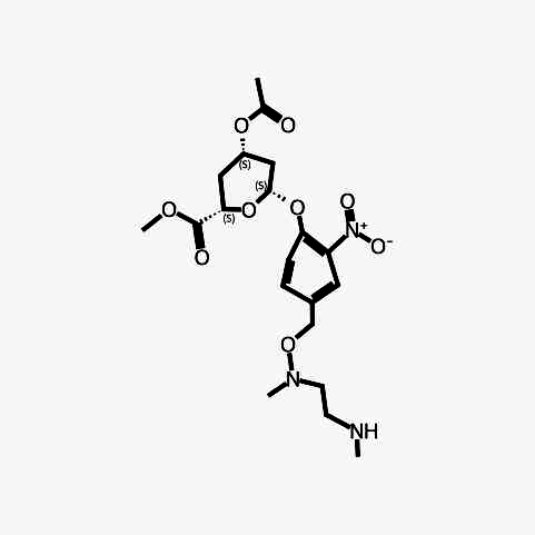 CNCCN(C)OCc1ccc(O[C@H]2C[C@@H](OC(C)=O)C[C@@H](C(=O)OC)O2)c([N+](=O)[O-])c1